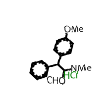 CNC(C=O)C(c1ccccc1)c1ccc(OC)cc1.Cl